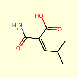 CC(C)C=C(C(N)=O)C(=O)O